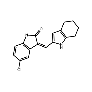 O=C1Nc2ccc(Cl)cc2/C1=C/c1cc2c([nH]1)CCCC2